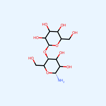 N[C@@H]1OC(CO)[C@@H](O[C@@H]2OC(CO)C(O)C(O)C2O)C(O)C1O